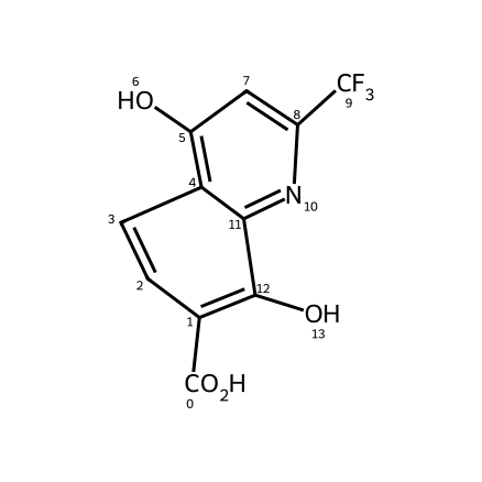 O=C(O)c1ccc2c(O)cc(C(F)(F)F)nc2c1O